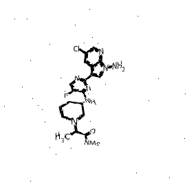 CNC(=O)C(C)N1CCC[C@H](Nc2nc(-c3cn(N)c4ncc(Cl)cc34)ncc2F)C1